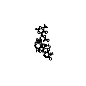 CC(=O)O[C@H](C(=O)OC(C)C)[C@@H](CO[P@@]1(=O)OCC[C@H]2O[C@@H](n3ccc(=O)[nH]c3=O)[C@](C)(N)[C@@H]2O1)OC(C)=O